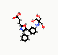 NC(CO)(CO)CO.O=C(O)CCc1nc(-c2ccccc2)c(-c2ccccc2)o1